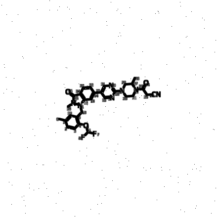 Cc1ccc(OC(F)F)c(Cn2c3cc(-c4cnc(N5CCN(C(=O)CC#N)C(C)C5)nc4)ccc3c(=O)n2C)c1